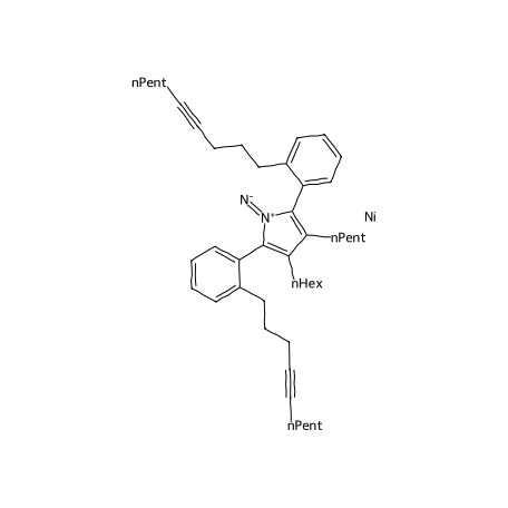 CCCCCC#CCCCc1ccccc1C1=C(CCCCC)C(CCCCCC)=C(c2ccccc2CCCC#CCCCCC)[N+]1=[N-].[Ni]